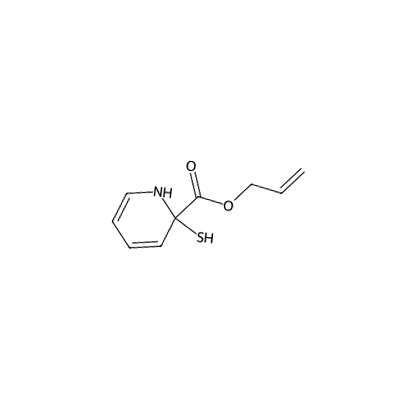 C=CCOC(=O)C1(S)C=CC=CN1